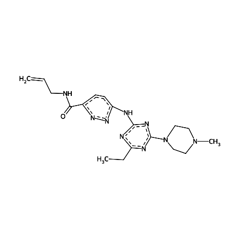 C=CCNC(=O)c1ccc(Nc2nc(CC)nc(N3CCN(C)CC3)n2)nn1